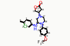 C=C(Cl)/C=C\C(=C)NC1CN(C2COC(=O)C2)CCN1c1ccc(OC(F)(F)F)cc1